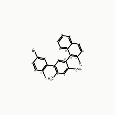 CSc1cc(C)c(-c2cc(Br)ccc2F)cc1-c1c(F)ccc2ccccc12